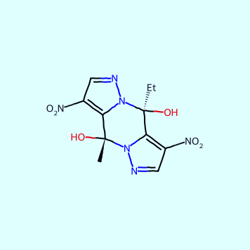 CC[C@]1(O)c2c([N+](=O)[O-])cnn2[C@](C)(O)c2c([N+](=O)[O-])cnn21